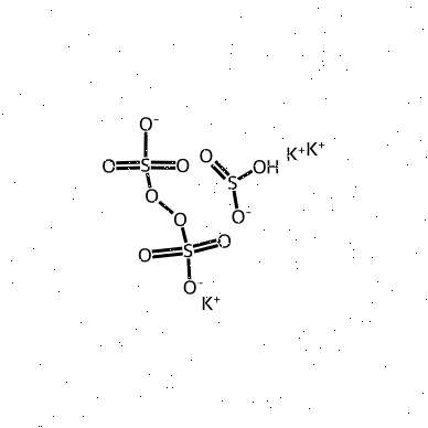 O=S(=O)([O-])OOS(=O)(=O)[O-].O=S([O-])O.[K+].[K+].[K+]